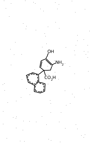 NC1=C(O)C=CC(C(=O)O)(c2cccc3ccccc23)C1